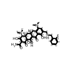 CN(C)c1cc(CNCc2ccccc2F)c(O)c2c1C[C@H]1C[C@H]3[C@H](N(C)C)C(O)=C(C(N)=O)C(=O)[C@@]3(O)C(O)=C1C2=O